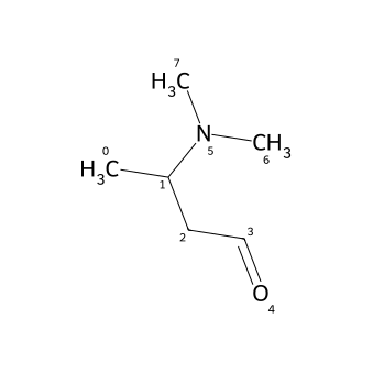 CC(CC=O)N(C)C